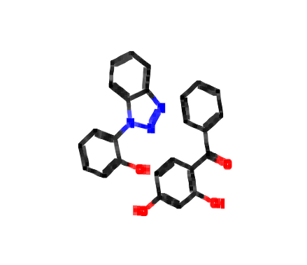 O=C(c1ccccc1)c1ccc(O)cc1O.Oc1ccccc1-n1nnc2ccccc21